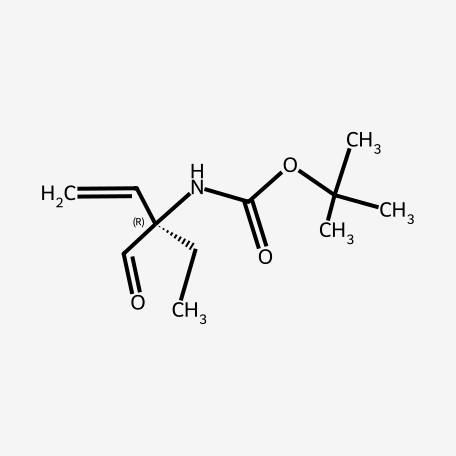 C=C[C@@](C=O)(CC)NC(=O)OC(C)(C)C